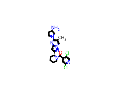 Cc1cn2nc([C@@H]3CCCCN3C(=O)c3cc(Cl)ncc3Cl)cc2nc1N1CC[C@H](N)C1